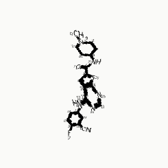 CN1CCC(NC(=O)c2cc3c(Nc4ccc(F)c(C#N)c4)ncnc3s2)CC1